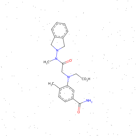 Cc1ccc(C(N)=O)cc1N(CC(=O)O)CC(=O)N(C)N1Cc2ccccc2C1